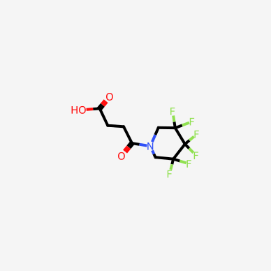 O=C(O)CCC(=O)N1CC(F)(F)C(F)(F)C(F)(F)C1